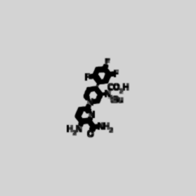 CC(C)(C)N(C(=O)O)[C@H]1CN(c2ccc(N)c(C(N)=O)n2)CC[C@@H]1c1cc(F)c(F)cc1F